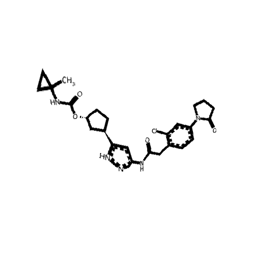 CC1(NC(=O)O[C@@H]2CC[C@@H](c3cc(NC(=O)Cc4ccc(N5CCCC5=O)cc4Cl)n[nH]3)C2)CC1